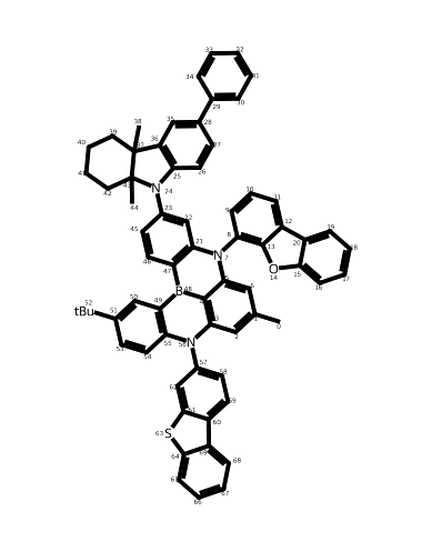 Cc1cc2c3c(c1)N(c1cccc4c1oc1ccccc14)c1cc(N4c5ccc(-c6ccccc6)cc5C5(C)CCCCC45C)ccc1B3c1cc(C(C)(C)C)ccc1N2c1ccc2c(c1)sc1ccccc12